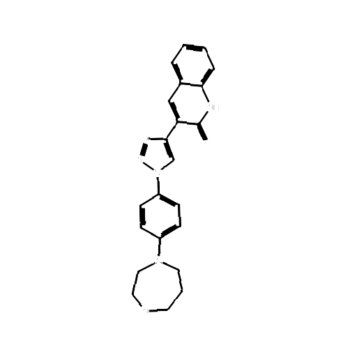 O=c1[nH]c2ccccc2cc1-c1cn(-c2ccc(N3CCCNCC3)cc2)nn1